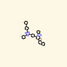 c1ccc(-c2ccc(-c3nc(-c4ccccc4)nc(-c4ccc(-c5cc6c7ccc8ccccc8c7sc6c6nc7ccccc7n56)cc4)n3)cc2)cc1